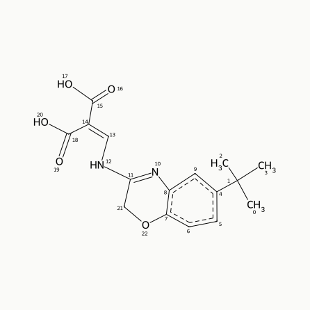 CC(C)(C)c1ccc2c(c1)N=C(NC=C(C(=O)O)C(=O)O)CO2